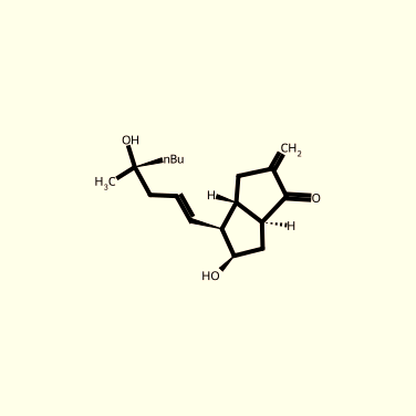 C=C1C[C@H]2[C@H](C=CC[C@](C)(O)CCCC)[C@H](O)C[C@@H]2C1=O